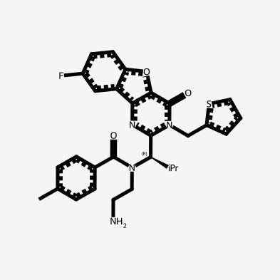 Cc1ccc(C(=O)N(CCN)[C@@H](c2nc3c(oc4ccc(F)cc43)c(=O)n2Cc2cccs2)C(C)C)cc1